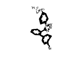 CS(=O)(=O)c1ccc(-n2nnnc2-c2ccccc2-c2ccc(CBr)cc2)cc1